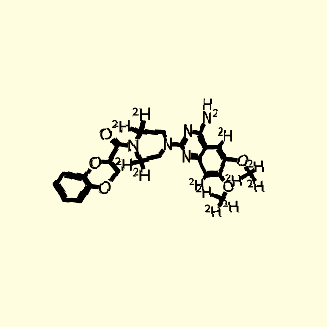 [2H]c1c(OC([2H])([2H])[2H])c(OC([2H])([2H])[2H])c([2H])c2c(N)nc(N3CC([2H])([2H])N(C(=O)C4COc5ccccc5O4)C([2H])([2H])C3)nc12